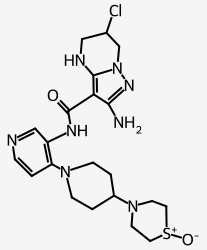 Nc1nn2c(c1C(=O)Nc1cnccc1N1CCC(N3CC[S+]([O-])CC3)CC1)NCC(Cl)C2